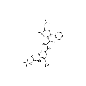 CC(C)CN1C[C@H](c2ccccc2)N(C(=O)C(=O)Nc2cnc(NC(=O)OC(C)(C)C)c(C3CC3)c2)C[C@H]1C